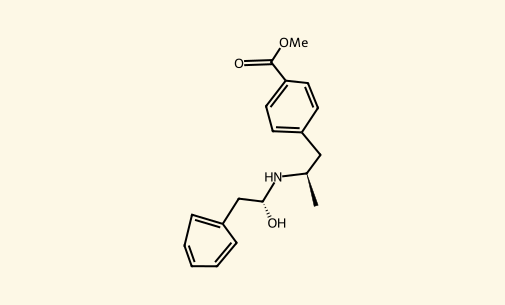 COC(=O)c1ccc(C[C@@H](C)N[C@H](O)Cc2ccccc2)cc1